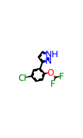 FC(F)Oc1ccc(Cl)cc1-c1cc[nH]n1